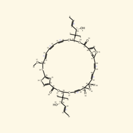 C/C=C/[C@H](O)C(C)(C)[C@@H]1C\C=C/C=C\C=C\[C@H](OC)Cc2nc(cs2)C(=O)O[C@H](C(C)(C)[C@@H](O)/C=C/C)C/C=C\[C@H]2O[C@H]2/C=C/C=C\c2nc(co2)C(=O)O1